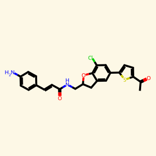 CC(=O)c1ccc(-c2cc(Cl)c3c(c2)CC(CNC(=O)C=Cc2ccc(N)cc2)O3)s1